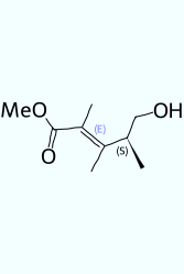 COC(=O)/C(C)=C(\C)[C@H](C)CO